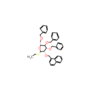 CCS[C@H]1O[C@H](COCc2ccccc2)[C@@H](OCc2ccccc2)[C@H](OCc2ccccc2)[C@@H]1OCc1cccc2ccccc12